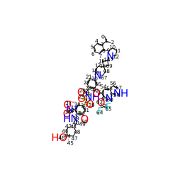 CC(C)c1ccccc1[C@H]1CCCN1C1CC2(CCN(c3ccc(C(=O)NS(=O)(=O)c4cc5c(c([N+](=O)[O-])c4)N[C@@H]([C@H]4CC[C@](C)(O)CC4)CO5)c(Oc4cc5cc[nH]c5nc4OC(F)F)c3)CC2)C1